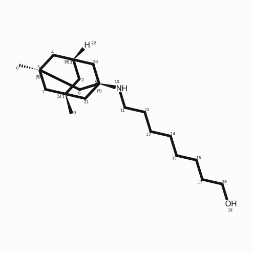 C[C@]12C[C@@H]3C[C@](C)(C1)C[C@](NCCCCCCCCO)(C3)C2